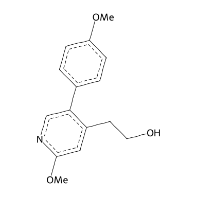 COc1ccc(-c2cnc(OC)cc2CCO)cc1